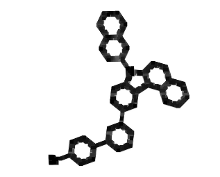 Brc1ccc(-c2cccc(-c3ccc4c(c3)c3c5ccccc5ccc3n4-c3ccc4ccccc4c3)c2)cc1